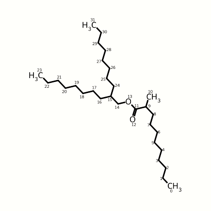 CCCCCCCCCC(C)C(=O)OCC(CCCCCCCC)CCCCCCCC